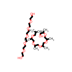 COC(C)COC(C)COC(C)COC(C)COC(C)COC(C)CO.OCCOCCOCCOCCOCCOCCO